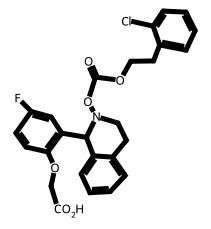 O=C(O)COc1ccc(F)cc1C1c2ccccc2CCN1OC(=O)OCCc1ccccc1Cl